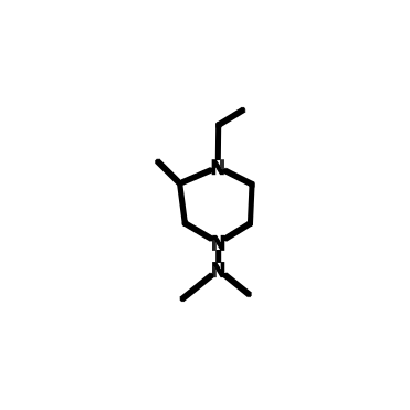 CCN1CCN(N(C)C)CC1C